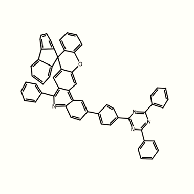 c1ccc(-c2nc(-c3ccccc3)nc(-c3ccc(-c4ccc5nc(-c6ccccc6)c6cc7c(cc6c5c4)Oc4ccccc4C74c5ccccc5-c5ccccc54)cc3)n2)cc1